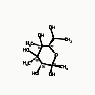 CC(O)[C@H]1O[C@](C)(O)[C@H](O)[C@@](C)(O)[C@@]1(C)O